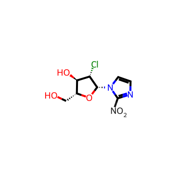 O=[N+]([O-])c1nccn1[C@@H]1O[C@H](CO)[C@@H](O)[C@@H]1Cl